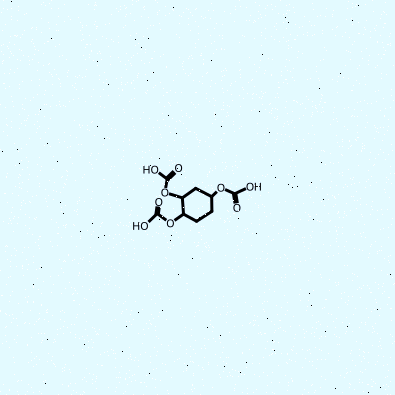 O=C(O)OC1CCC(OC(=O)O)C(OC(=O)O)C1